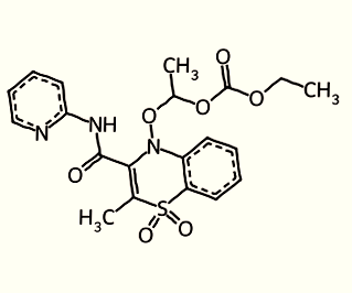 CCOC(=O)OC(C)ON1C(C(=O)Nc2ccccn2)=C(C)S(=O)(=O)c2ccccc21